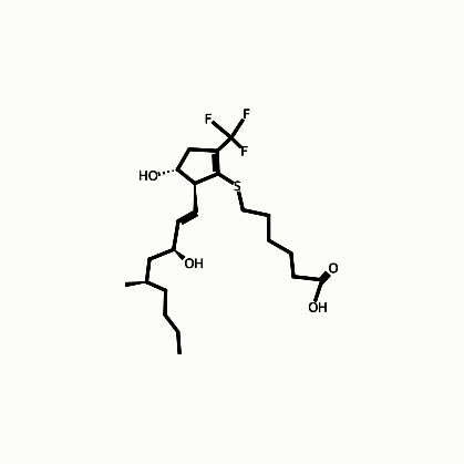 CCCC[C@@H](C)C[C@H](O)C=C[C@@H]1C(SCCCCCC(=O)O)=C(C(F)(F)F)C[C@H]1O